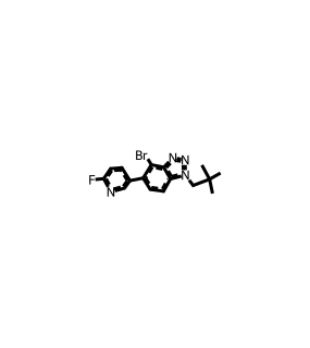 CC(C)(C)Cn1nnc2c(Br)c(-c3ccc(F)nc3)ccc21